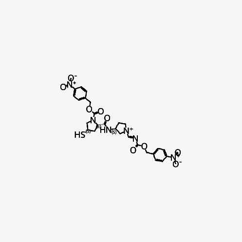 C[N+]1(C=NC(=O)OCc2ccc([N+](=O)[O-])cc2)CC[C@H](NC(=O)[C@@H]2C[C@H](S)CN2C(=O)OCc2ccc([N+](=O)[O-])cc2)C1